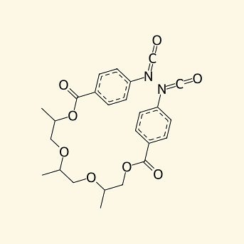 CC(COC(=O)c1ccc(N=C=O)cc1)OCC(C)OCC(C)OC(=O)c1ccc(N=C=O)cc1